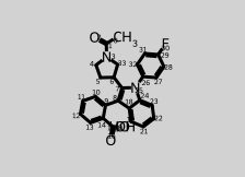 CC(=O)N1CCC(c2c(-c3ccccc3C(=O)O)c3c(O)cccc3n2-c2ccc(F)cc2)C1